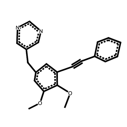 COc1cc(Cc2cncnc2)cc(C#Cc2ccccc2)c1OC